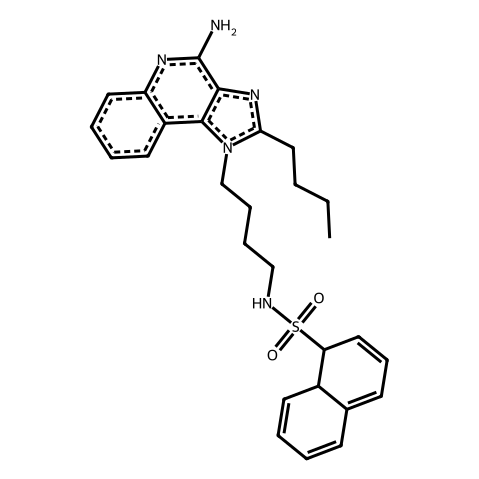 CCCCc1nc2c(N)nc3ccccc3c2n1CCCCNS(=O)(=O)C1C=CC=C2C=CC=CC21